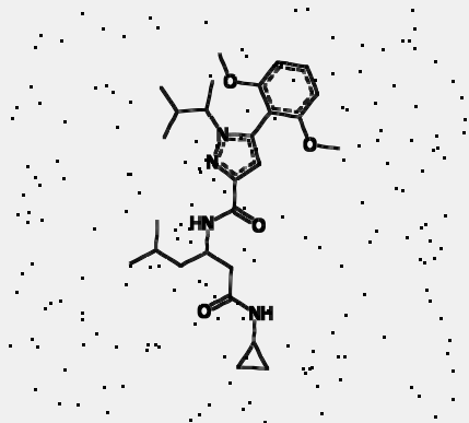 COc1cccc(OC)c1-c1cc(C(=O)NC(CC(=O)NC2CC2)CC(C)C)nn1C(C)C(C)C